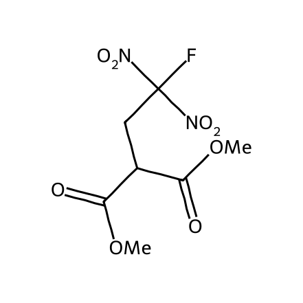 COC(=O)C(CC(F)([N+](=O)[O-])[N+](=O)[O-])C(=O)OC